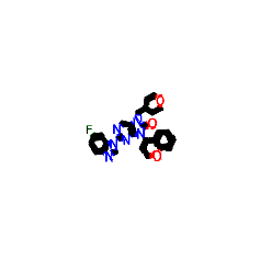 O=c1n(CC2CCOCC2)c2cnc(-n3cnc4ccc(F)cc43)nc2n1[C@@H]1CCOc2ccccc21